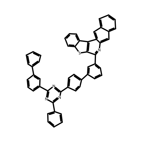 c1ccc(-c2cccc(-c3nc(-c4ccccc4)nc(-c4ccc(-c5cccc(-c6nc7cc8ccccc8cc7c7c6sc6ccccc67)c5)cc4)n3)c2)cc1